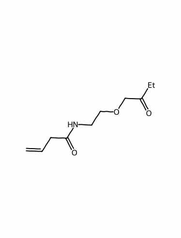 C=CCC(=O)NCCOCC(=O)CC